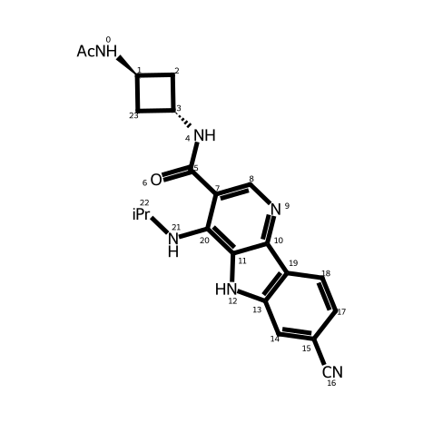 CC(=O)N[C@H]1C[C@H](NC(=O)c2cnc3c([nH]c4cc(C#N)ccc43)c2NC(C)C)C1